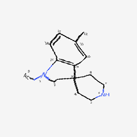 CC(=O)N1CC2(CCNCC2)c2cc(C)ccc21